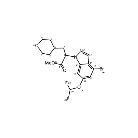 COC(=O)C(CC1CCOCC1)n1ncc2c(Br)cc(OC(F)F)cc21